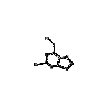 CCc1nc(SS)c2ncsc2n1